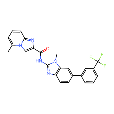 Cc1cccc2nc(C(=O)Nc3nc4ccc(-c5cccc(C(F)(F)F)c5)cc4n3C)cn12